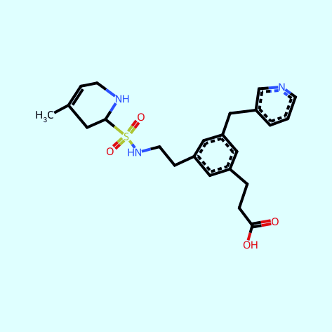 CC1=CCNC(S(=O)(=O)NCCc2cc(CCC(=O)O)cc(Cc3cccnc3)c2)C1